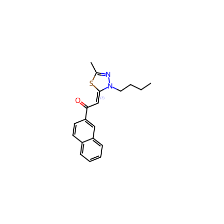 CCCCN1N=C(C)S/C1=C\C(=O)c1ccc2ccccc2c1